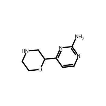 Nc1nccc(C2CNCCO2)n1